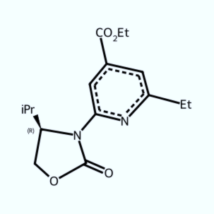 CCOC(=O)c1cc(CC)nc(N2C(=O)OC[C@H]2C(C)C)c1